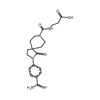 N=C(N)c1ccc(N2CCC3(CCN(C(=O)NCCC(=O)O)CC3)C2=O)cc1